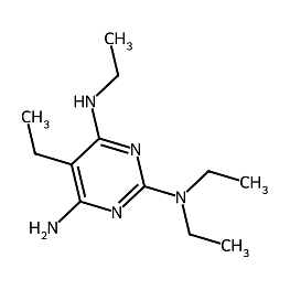 CCNc1nc(N(CC)CC)nc(N)c1CC